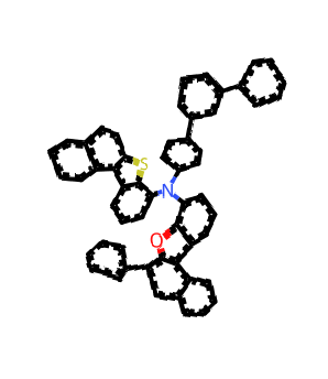 c1ccc(-c2cccc(-c3ccc(N(c4cccc5c4oc4c(-c6ccccc6)cc6ccccc6c45)c4cccc5c4sc4ccc6ccccc6c45)cc3)c2)cc1